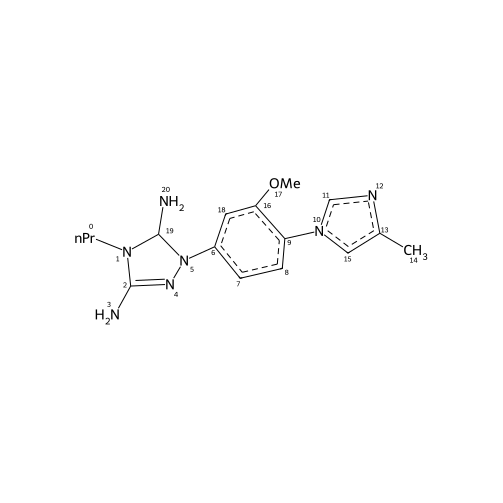 CCCN1C(N)=NN(c2ccc(-n3cnc(C)c3)c(OC)c2)C1N